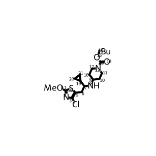 COc1nc(Cl)c(CC(NC2CCN(C(=O)OC(C)(C)C)CC2)C2CC2)s1